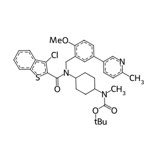 COc1ccc(-c2ccc(C)nc2)cc1CN(C(=O)c1sc2ccccc2c1Cl)C1CCC(N(C)C(=O)OC(C)(C)C)CC1